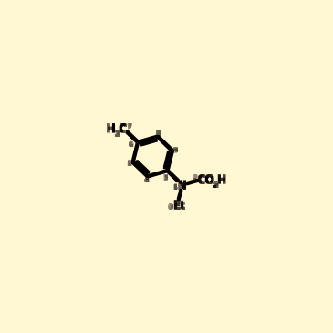 CCN(C(=O)O)c1ccc(C)cc1